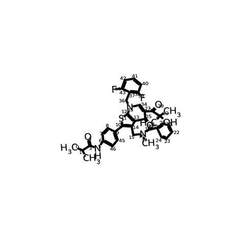 CC(C)C(=O)Nc1ccc(-c2sc3c(c2CN(C)Cc2ccccc2)c(=O)c(C(=O)C(C)(C)O)cn3Cc2c(F)cccc2F)cc1